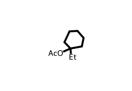 CCC1(OC(C)=O)CCCCC1